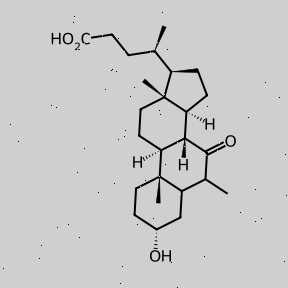 CC1C(=O)[C@H]2[C@@H]3CC[C@H]([C@H](C)CCC(=O)O)[C@@]3(C)CC[C@@H]2[C@@]2(C)CC[C@@H](O)CC12